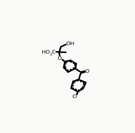 CC(CO)(Oc1ccc(C(=O)c2ccc(Cl)cc2)cc1)C(=O)O